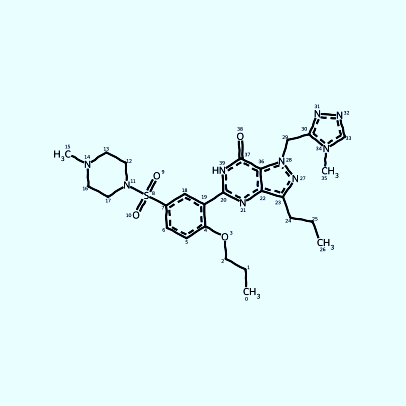 CCCOc1ccc(S(=O)(=O)N2CCN(C)CC2)cc1-c1nc2c(CCC)nn(Cc3nncn3C)c2c(=O)[nH]1